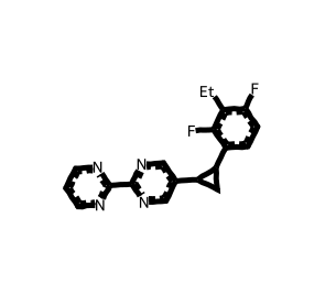 CCc1c(F)ccc(C2CC2c2cnc(-c3ncccn3)nc2)c1F